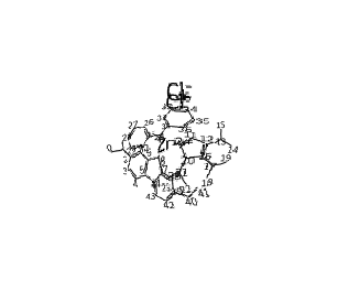 CCc1ccc2c(c1)[CH]([Zr+2]([C]1=CC(C(C)C)=C(C(C)C)C1C(C)C)=[C](c1ccccc1)c1ccccc1)c1cc(CC)ccc1-2.[Cl-].[Cl-]